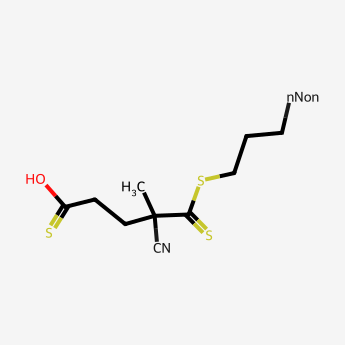 CCCCCCCCCCCCSC(=S)C(C)(C#N)CCC(O)=S